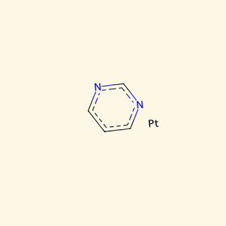 [Pt].c1cncnc1